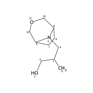 CC(CO)CN1C2CCC1COC2